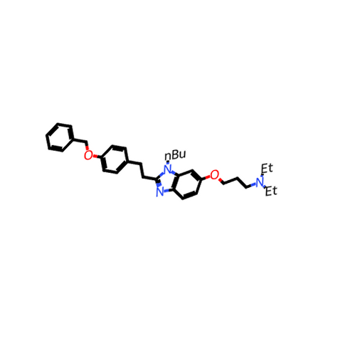 CCCCn1c(CCc2ccc(OCc3ccccc3)cc2)nc2ccc(OCCCN(CC)CC)cc21